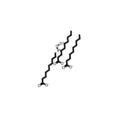 CC(C)[O][Ti+3].CCCCCCCCCC(=O)[O-].CCCCCCCCCC(=O)[O-].CCCCCCCCCC(=O)[O-]